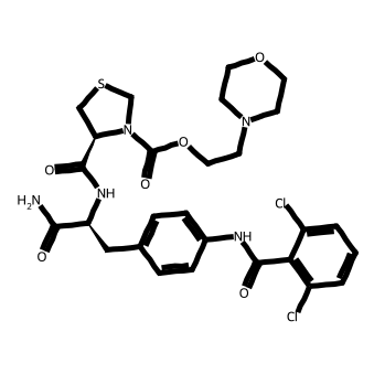 NC(=O)[C@H](Cc1ccc(NC(=O)c2c(Cl)cccc2Cl)cc1)NC(=O)[C@H]1CSCN1C(=O)OCCN1CCOCC1